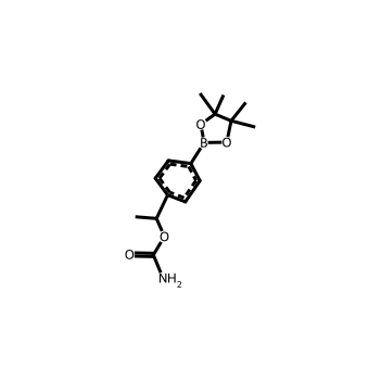 CC(OC(N)=O)c1ccc(B2OC(C)(C)C(C)(C)O2)cc1